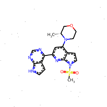 C[C@@H]1COCCN1c1cc(-c2ncnc3[nH]ccc23)nc2c1ccn2S(C)(=O)=O